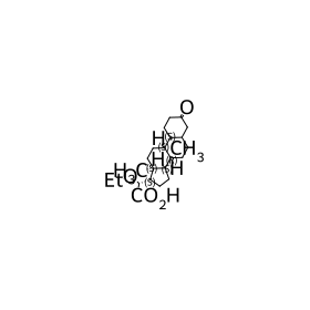 CCOC(C(=O)O)[C@H]1CC[C@H]2[C@@H]3CCC4CC(=O)CC[C@]4(C)[C@H]3CC[C@]12C